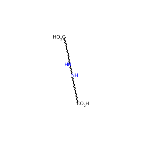 O=C(O)CCCCCCCCCCCCCCCCCNCCCCCCNCCCCCCCCCCCCCCCCCC(=O)O